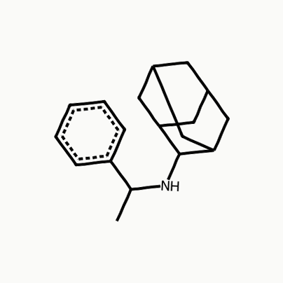 CC(NC1C2CC3CC(C2)CC1C3)c1ccccc1